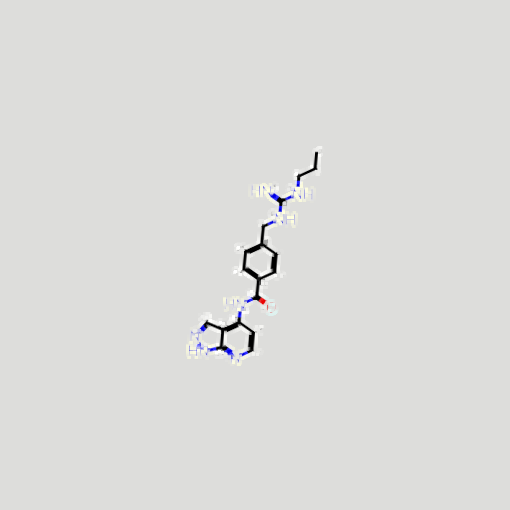 CCCNC(=N)NCc1ccc(C(=O)Nc2ccnc3[nH]ncc23)cc1